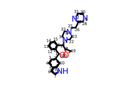 O=C(c1ccc2cc[nH]c2c1)c1ccccc1C(C1CO1)N1CCN(CCc2cnccn2)CC1